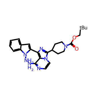 CC(C)(C)COC(=O)N1CCC(c2nc(-c3cc4ccccc4n3N)c3c(N)nccn23)CC1